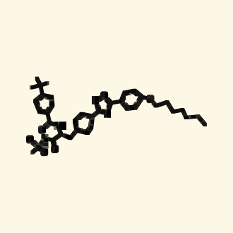 CCCCCCCOc1ccc(-c2nc(-c3ccc(C[C@H](NC(=O)c4ccc(C(C)(C)C)cc4)C(=O)NS(C)(=O)=O)cc3)no2)cc1